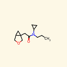 CCCN(C(=O)CC12COCC1C2)C1CC1